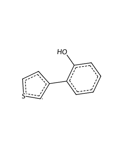 Oc1ccccc1-c1[c]scc1